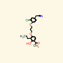 CCCc1c(OCCCSc2ccc(CC#N)cc2Cl)ccc(C(C)=O)c1O